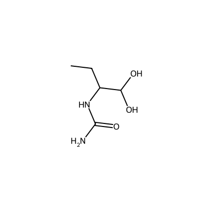 CCC(NC(N)=O)C(O)O